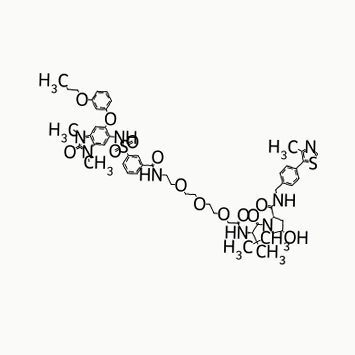 CCCOc1cccc(Oc2cc3c(cc2NS(=O)(=O)c2cccc(C(=O)NCCOCCOCCOCC(=O)N[C@@H](C(=O)N4C[C@@H](O)C[C@@H]4C(=O)NCc4ccc(-c5scnc5C)cc4)C(C)(C)C)c2)n(C)c(=O)n3C)c1